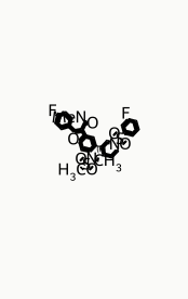 CNC(=O)c1c(-c2ccc(F)cc2)oc2cc(N(C)S(C)(=O)=O)c([C@H]3CCCN(S(=O)(=O)c4cccc(F)c4)C3)cc12